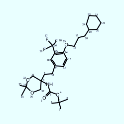 CC(C)(C)OC(=O)NC1(CCc2ccc(OCCCC3CCCCC3)c(C(F)(F)F)c2)COC(C)(C)OC1